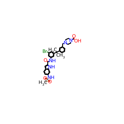 CC(C)(c1cccc(CN2CCN(C(=O)O)CC2)c1)c1cc(Br)cc(NC(=O)c2cc3ccc(NS(C)(=O)=O)cc3[nH]2)c1